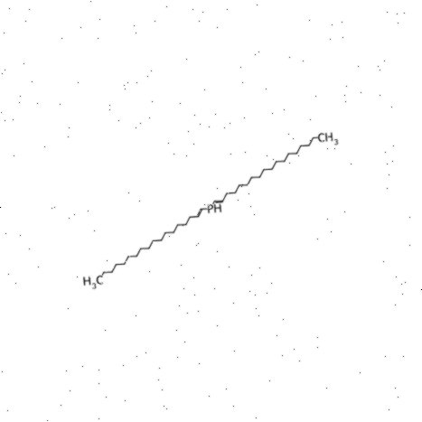 CCCCCCCCCCCCCCCCC=CPC=CCCCCCCCCCCCCCCCC